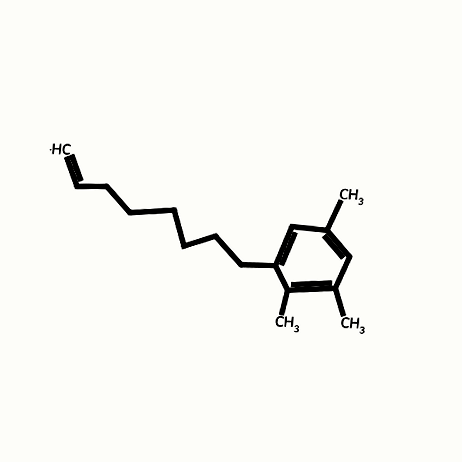 [CH]=CCCCCCCc1cc(C)cc(C)c1C